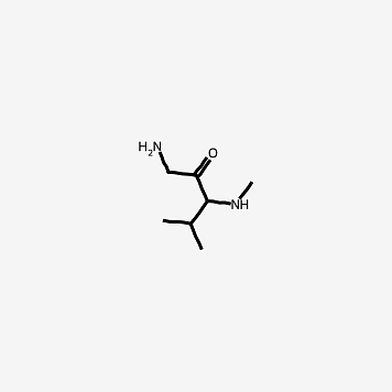 CNC(C(=O)CN)C(C)C